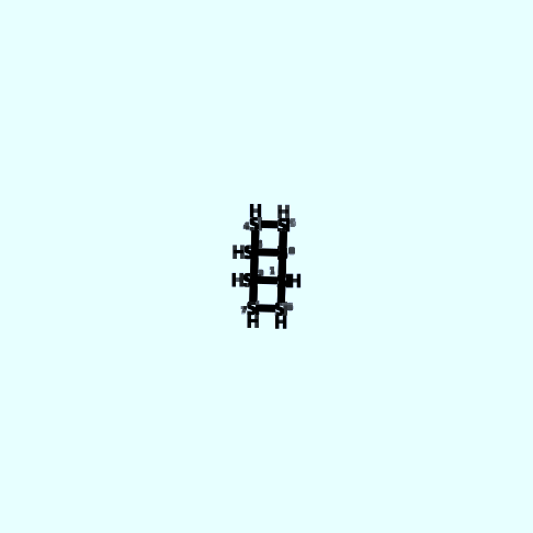 B12[SiH]3[SiH]4[SiH]1[SiH]1[SiH]2[SiH]3[SiH]41